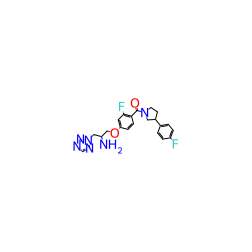 NC(COc1ccc(C(=O)N2CCC(c3ccc(F)cc3)C2)c(F)c1)Cn1ncnn1